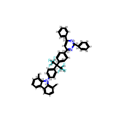 Cc1cccc2c3cccc(C)c3n(-c3ccc(C(c4ccc(-c5cc(-c6ccccc6)nc(-c6ccccc6)n5)cc4)(C(F)(F)F)C(F)(F)F)cc3)c12